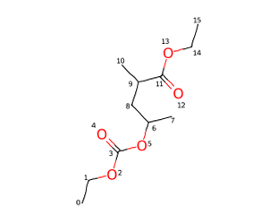 CCOC(=O)OC(C)CC(C)C(=O)OCC